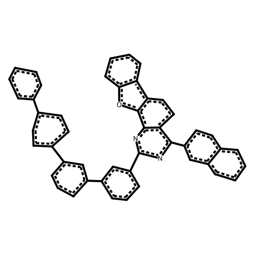 c1ccc(-c2ccc(-c3cccc(-c4cccc(-c5nc(-c6ccc7ccccc7c6)c6ccc7c8ccccc8oc7c6n5)c4)c3)cc2)cc1